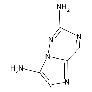 Nc1ncc2nnc(N)n2n1